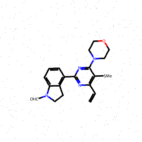 C=Cc1nc(-c2cccc3c2CCN3C=O)nc(N2CCOCC2)c1SC